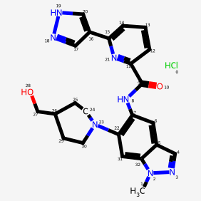 Cl.Cn1ncc2cc(NC(=O)c3cccc(-c4cn[nH]c4)n3)c(N3CCC(CO)CC3)cc21